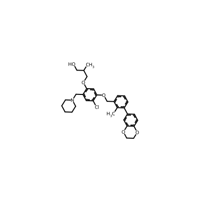 Cc1c(COc2cc(OCC(C)CO)c(CN3CCCCC3)cc2Cl)cccc1-c1ccc2c(c1)OCCO2